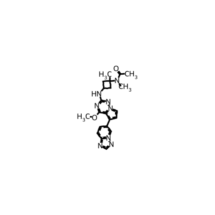 COc1nc(NC2CC(C)(N(C)C(C)=O)C2)nn2ccc(-c3ccc4ncnn4c3)c12